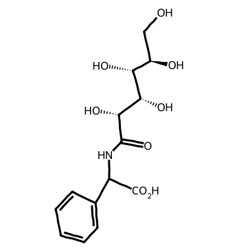 O=C(O)C(NC(=O)[C@H](O)[C@@H](O)[C@H](O)[C@H](O)CO)c1ccccc1